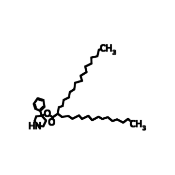 CCCCCCCCCCCCCCCCC(CCCCCCCCCCCCCCC)C(=O)OC1(c2ccccc2)CCNCC1